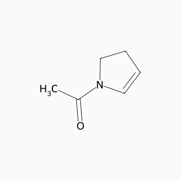 CC(=O)N1C=CCC1